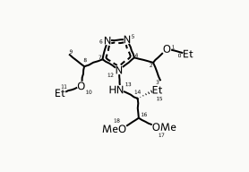 CCOC(C)c1nnc(C(C)OCC)n1N[C@H](CC)C(OC)OC